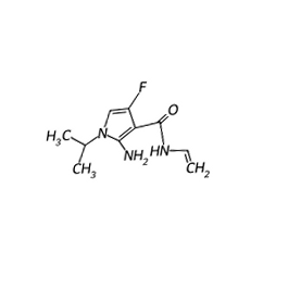 C=CNC(=O)c1c(F)cn(C(C)C)c1N